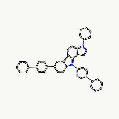 c1ccc(-c2ccc(-c3ccc4c(c3)c3ccc5c(ccn5-c5ccccc5)c3n4-c3ccc(-c4ccccc4)cc3)cc2)cc1